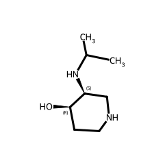 CC(C)N[C@H]1CNCC[C@H]1O